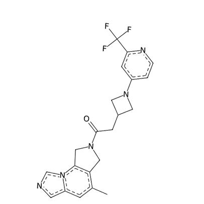 Cc1cc2cncn2c2c1CN(C(=O)CC1CN(c3ccnc(C(F)(F)F)c3)C1)C2